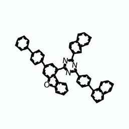 c1ccc(-c2ccc(-c3cc(-c4nc(-c5ccc(-c6cccc7ccccc67)cc5)nc(-c5ccc6ccccc6c5)n4)c4c(c3)oc3ccccc34)cc2)cc1